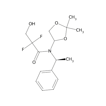 C[C@@H](c1ccccc1)N(C(=O)C(F)(F)CO)C1COC(C)(C)O1